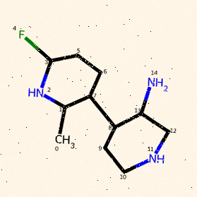 CC1NC(F)CCC1C1CCNCC1N